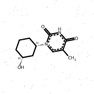 Cc1cn([C@H]2CCC[C@@H](O)C2)c(=O)[nH]c1=O